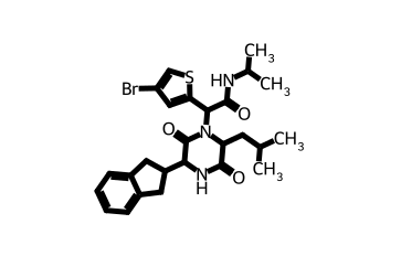 CC(C)CC1C(=O)NC(C2Cc3ccccc3C2)C(=O)N1C(C(=O)NC(C)C)c1cc(Br)cs1